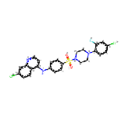 O=S(=O)(c1ccc(Nc2ccnc3cc(Cl)ccc23)cc1)N1CCN(c2ccc(Cl)cc2F)CC1